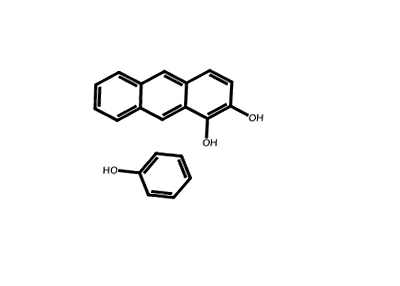 Oc1ccc2cc3ccccc3cc2c1O.Oc1ccccc1